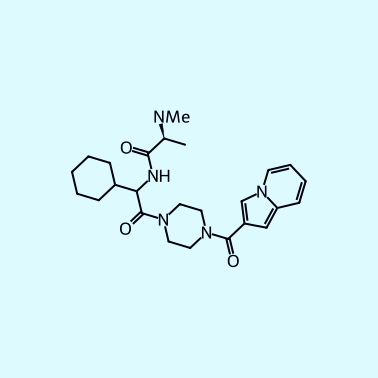 CN[C@@H](C)C(=O)NC(C(=O)N1CCN(C(=O)c2cc3ccccn3c2)CC1)C1CCCCC1